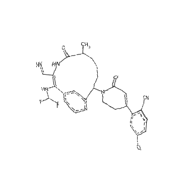 CC1CCCC(N2CCC(c3cc(Cl)ccc3C#N)=CC2=O)c2cc(ccn2)/C(NC(F)F)=C(/C=N)NC1=O